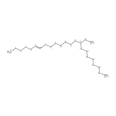 [CH2]CCCCC=CCCCCCCCC(CC)CCCCCCC[CH2]